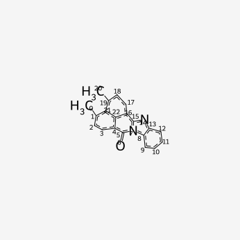 Cc1ccc2c(=O)n3c4ccccc4nc3c3ccc(C)c1c23